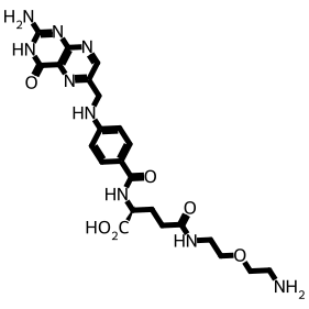 NCCOCCNC(=O)CC[C@H](NC(=O)c1ccc(NCc2cnc3nc(N)[nH]c(=O)c3n2)cc1)C(=O)O